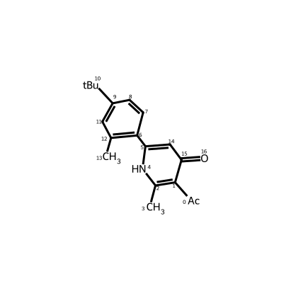 CC(=O)c1c(C)[nH]c(-c2ccc(C(C)(C)C)cc2C)cc1=O